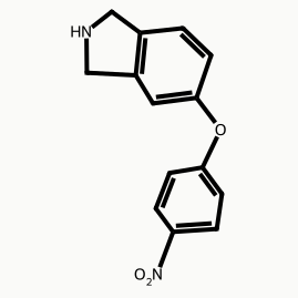 O=[N+]([O-])c1ccc(Oc2ccc3c(c2)CNC3)cc1